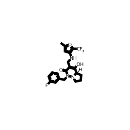 Cc1cc(NCC2=C(O)[C@H]3CCCN3N(Cc3cccc(F)c3)C2=O)c(C(F)(F)F)o1